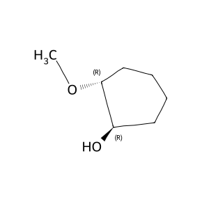 CO[C@@H]1CCCC[C@H]1O